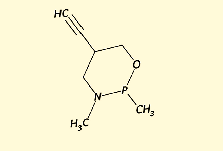 C#CC1COP(C)N(C)C1